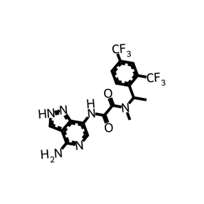 CC(c1ccc(C(F)(F)F)cc1C(F)(F)F)N(C)C(=O)C(=O)Nc1cnc(N)c2c[nH]nc12